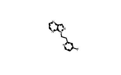 Fc1ccnc(CCn2ncc3nccnc32)c1